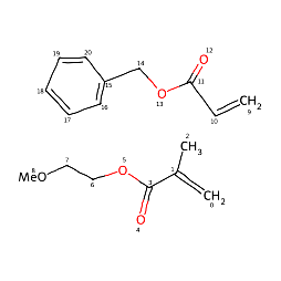 C=C(C)C(=O)OCCOC.C=CC(=O)OCc1ccccc1